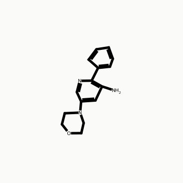 Nc1cc(N2CCOCC2)cnc1-c1ccccc1